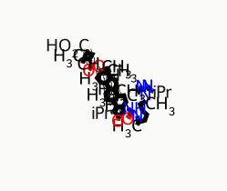 Cc1nnc(C(C)C)n1C(C)CC1CCC(C)N1C(=O)N[C@@]12CC[C@]3(C)[C@H](CC[C@@H]4[C@@]5(C)CC[C@H](OC(=O)[C@H]6C[C@@H](C(=O)O)C6(C)C)C(C)(C)[C@@H]5CC[C@]43C)C1=C(C(C)C)C(=O)C2